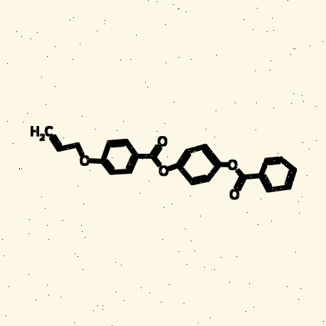 C=CCOc1ccc(C(=O)Oc2ccc(OC(=O)c3ccccc3)cc2)cc1